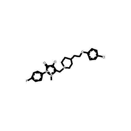 Cn1c(CN2CCC(CCOc3ccc(Cl)cc3)CC2)c(Cl)c(=O)n1-c1ccc(F)cc1